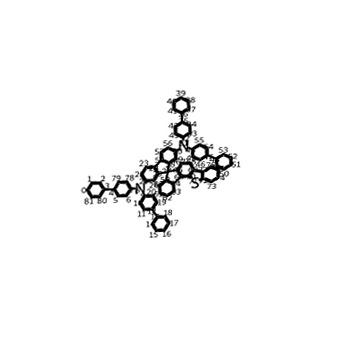 c1ccc(-c2ccc(N(c3ccc(-c4ccccc4)cc3)c3ccc4c(c3)C3(c5cc(N(c6ccc(-c7ccccc7)cc6)c6ccc(-c7ccccc7)cc6)ccc5-4)c4ccccc4-c4c3ccc3c4sc4ccccc43)cc2)cc1